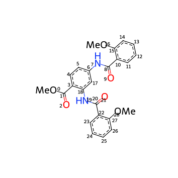 COC(=O)c1ccc(NC(=O)c2ccccc2OC)cc1NC(=O)c1ccccc1OC